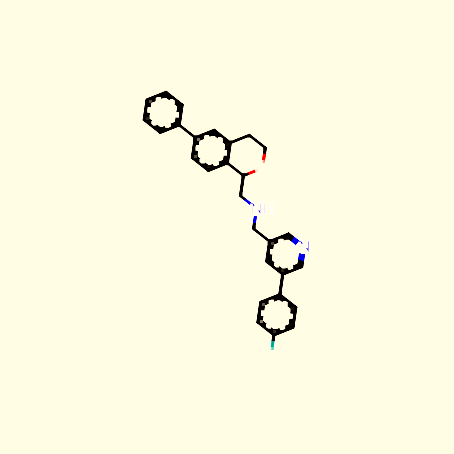 Fc1ccc(-c2cncc(CNCC3OCCc4cc(-c5ccccc5)ccc43)c2)cc1